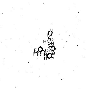 Cc1ccc(NC(=O)c2cccc(C(F)(F)F)c2Cl)cc1Oc1ccc2nc(NC(=O)CN3CCN(C)CC3)sc2n1